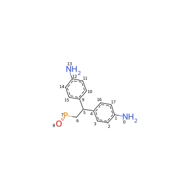 Nc1ccc(C(CP=O)c2ccc(N)cc2)cc1